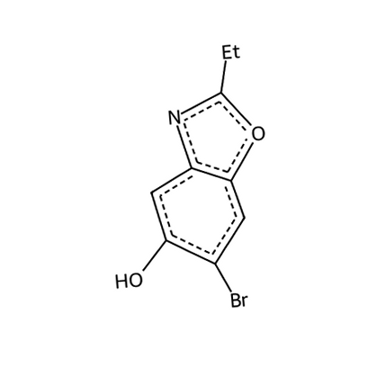 CCc1nc2cc(O)c(Br)cc2o1